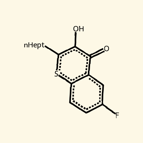 CCCCCCCc1sc2ccc(F)cc2c(=O)c1O